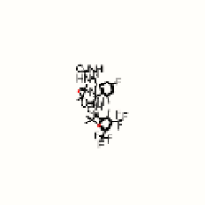 [2H][C@]1(O[C@@](C)(c2cc(C(F)(F)F)cc(C(F)(F)F)c2C)C(C)(C)C)OC(C)(C)C(C)(C)N(Cc2n[nH]c(=O)[nH]2)[C@@]1([2H])c1ccc(F)cc1C